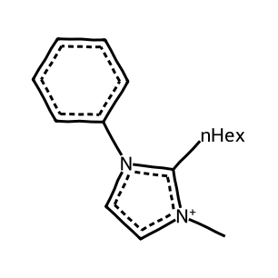 CCCCCCc1n(-c2ccccc2)cc[n+]1C